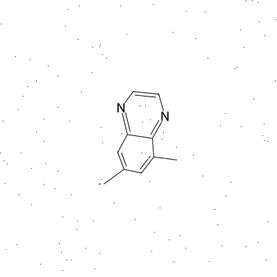 [CH2]c1cc(C)c2nccnc2c1